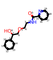 O=C(NCCOCC(O)c1ccccc1)c1ccccn1